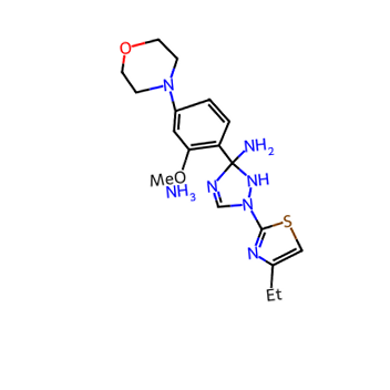 CCc1csc(N2C=NC(N)(c3ccc(N4CCOCC4)cc3OC)N2)n1.N